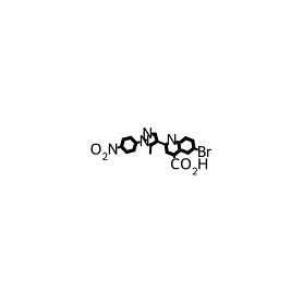 Cc1c(-c2cc(C(=O)O)c3cc(Br)ccc3n2)cnn1-c1ccc([N+](=O)[O-])cc1